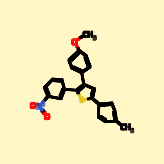 COc1ccc(-c2cc(-c3ccc(C)cc3)sc2-c2cccc([N+](=O)[O-])c2)cc1